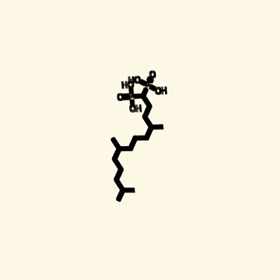 CC(C)CCCC(C)CCCC(C)CCC(P(=O)(O)O)P(=O)(O)O